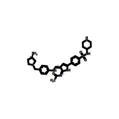 CC(=O)/N=C1/NC(c2ccc(S(=O)(=O)NC3CCNCC3)cc2)=C/C1=C/Nc1ccc(CN2CC[C@@H](N)C2)cc1